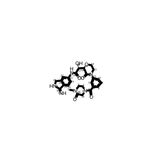 CN1CCN(C(=O)c2cccc(N3CCO[C@H]([C@@H](O)C(=O)Nc4ccc5c(c4)CNC5=N)C3=O)c2)CC1=O